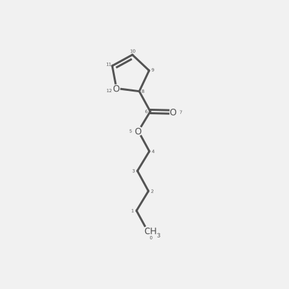 CCCCCOC(=O)C1CC=CO1